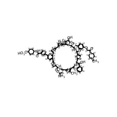 Cc1sc2nc1C(=O)N[C@@H]([C@H](O)c1ccccc1)c1nc(cs1)C(=O)N[C@@H](Cc1ccc(OCC(=O)N3CCN(C)CC3)cc1)C(=O)N1C[C@H](O)[C@H](C)[C@H]1c1nc(cs1)-c1nc(cs1)-c1nc(-c3nc(C(=O)N[C@H]4CC[C@H](C(=O)O)CC4)cs3)ccc1C1=NC(CS1)C(=O)N[C@H]2CC(N)=O